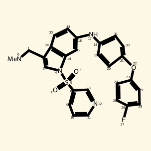 CNCc1cn(S(=O)(=O)c2cccnc2)c2cc(Nc3ccc(Oc4ccc(F)cc4)cc3)ccc12